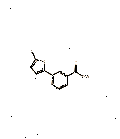 COC(=O)c1cccc(-c2ccc(Cl)s2)c1